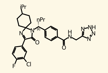 CCC[C@H](c1ccc(C(=O)NCc2nn[nH]n2)cc1)N1C(=O)C(c2ccc(F)c(Cl)c2)=NC12CCC(C(C)C)CC2